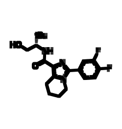 CC(C)(C)[C@@H](CO)NC(=O)c1nc(-c2ccc(F)c(F)c2)n2c1CCCC2